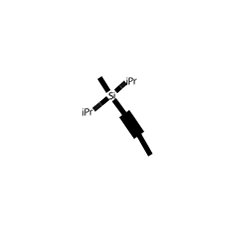 CC#C[Si](C)(C(C)C)C(C)C